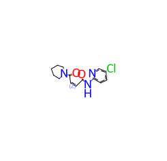 O=C(/C=C\C(=O)N1CCCCC1)Nc1ccc(Cl)cn1